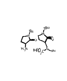 CC(C)(C)N1CCC(N(C(=O)O)C(C)(C)C)C1=O.CC(C)(C)N1CCC(N)C1=O